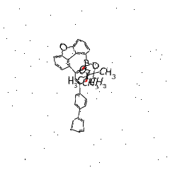 CC1(C)OB(c2cccc3oc4cccc(-c5cccc(-c6ccc(-c7ccccc7)cc6)c5)c4c23)OC1(C)C